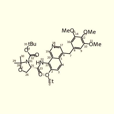 CCOc1ccc2c(Cc3cc(OC)c(OC)c(OC)c3)cncc2c1NC(=O)[C@@H]1COC(C)(C)N1C(=O)OC(C)(C)C